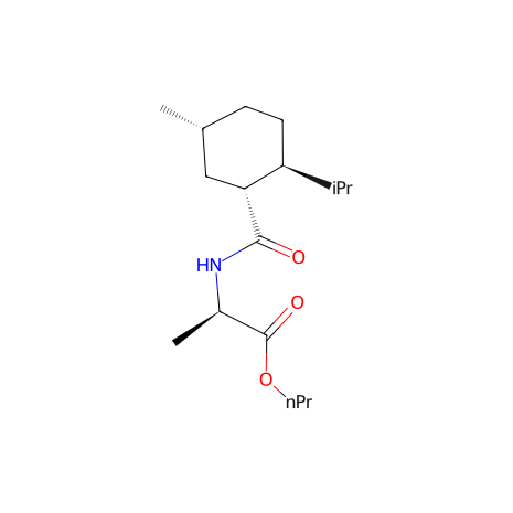 CCCOC(=O)[C@@H](C)NC(=O)[C@@H]1C[C@H](C)CC[C@H]1C(C)C